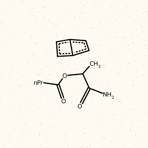 CCCC(=O)OC(C)C(N)=O.c1cc2ccc1-2